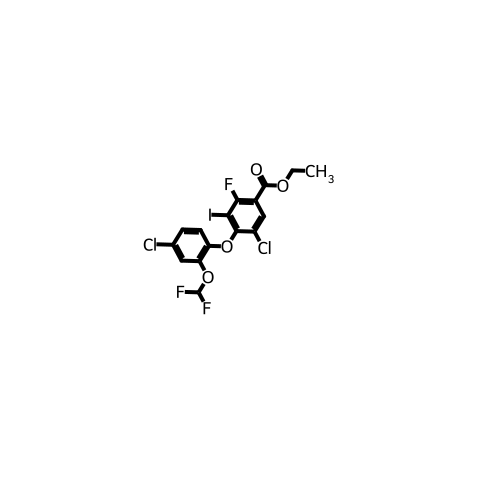 CCOC(=O)c1cc(Cl)c(Oc2ccc(Cl)cc2OC(F)F)c(I)c1F